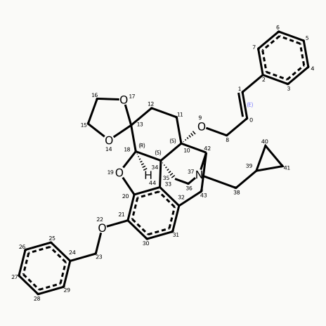 C(=C\c1ccccc1)/CO[C@@]12CCC3(OCCO3)[C@@H]3Oc4c(OCc5ccccc5)ccc5c4[C@@]31CCN(CC1CC1)C2C5